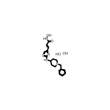 Cl.Cl.O=C(/C=C/c1csc(NC2CCN(Cc3ccccc3)CC2)n1)NO